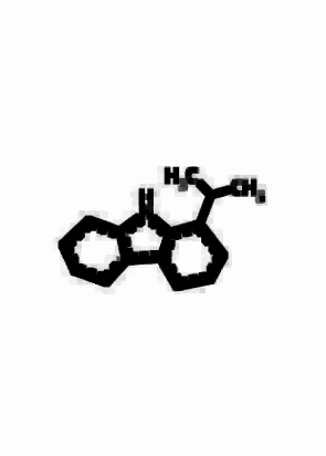 CC(C)c1cccc2c1[nH]c1ccccc12